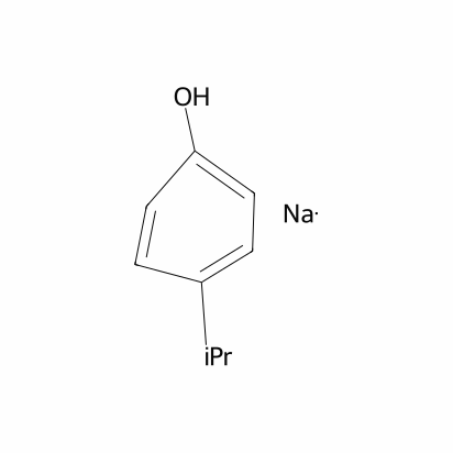 CC(C)c1ccc(O)cc1.[Na]